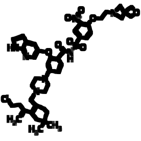 C=C(CCCl)C1=C(CN2CCN(c3ccc(C(=O)NS(=O)(=O)c4ccc(OCCN5CC6(COC6)C5)c([N+](=O)[O-])c4)c(Oc4cnc5[nH]ccc5c4)c3)CC2)CCC(C)(C)C1